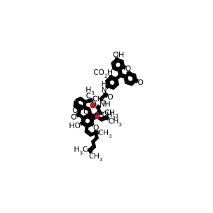 CC(C)=CCCC1(C)C=Cc2c(O)c3c(c(CC=C(C)C)c2O1)OC12C(=CC4CC1C(C)(C)OC2(C/C=C(/C)C(=O)NCC(=O)Nc1ccc(-c2c5ccc(=O)cc-5oc5cc(O)ccc25)c(C(=O)O)c1)C4=O)C3=O